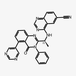 C[C@H](Nc1ncnc2ccc(C#N)cc12)c1nc2cccc(-c3cncnc3)c2c(=O)n1-c1ccccc1